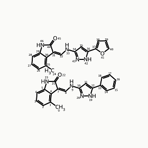 Cc1cccc2c1C(=CNc1cc(-c3ccccc3)[nH]n1)C(=O)N2.Cc1cccc2c1C(=CNc1cc(-c3ccco3)[nH]n1)C(=O)N2